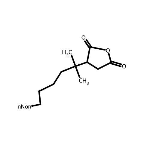 CCCCCCCCCCCCCC(C)(C)C1CC(=O)OC1=O